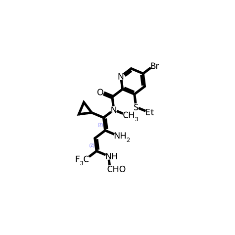 CCSc1cc(Br)cnc1C(=O)N(C)/C(=C(N)/C=C(\NC=O)C(F)(F)F)C1CC1